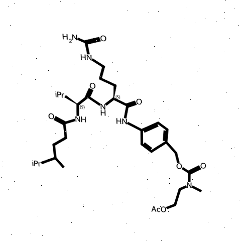 CC(=O)OCCN(C)C(=O)OCc1ccc(NC(=O)[C@H](CCCNC(N)=O)NC(=O)[C@@H](NC(=O)CCC(C)C(C)C)C(C)C)cc1